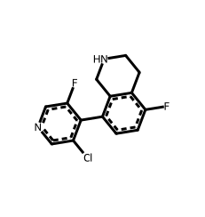 Fc1ccc(-c2c(F)cncc2Cl)c2c1CCNC2